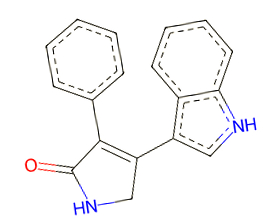 O=C1NCC(c2c[nH]c3ccccc23)=C1c1ccccc1